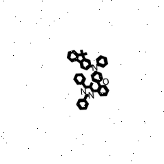 CC1C(c2cccc3oc4cc(N(c5ccccc5)c5ccc6c(c5)C(C)(C)c5ccccc5-6)ccc4c23)=NC(c2ccccc2)=NC1C1=CCCC=C1